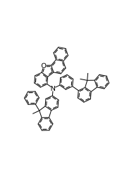 CC1(C)c2ccccc2-c2cccc(-c3cccc(N(c4ccc5c(c4)C(C)(c4ccccc4)c4ccccc4-5)c4cccc5oc6c7ccccc7ccc6c45)c3)c21